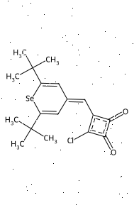 CC(C)(C)C1=CC(=Cc2c(Cl)c(=O)c2=O)C=C(C(C)(C)C)[Se]1